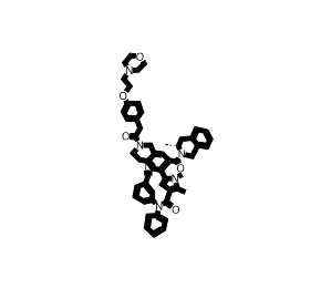 Cc1c(C(=O)N(c2ccccc2)c2cccc(C#N)c2)cc(-c2cc3c(cc2C(=O)N2Cc4ccccc4C[C@H]2C)CN(C(=O)Cc2ccc(OCCN4CCOCC4)cc2)CC3)n1C